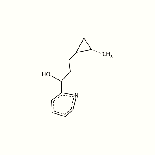 C[C@H]1CC1CCC(O)c1ccccn1